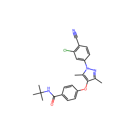 Cc1nn(-c2ccc(C#N)c(Cl)c2)c(C)c1Oc1ccc(C(=O)NC(C)(C)C)cc1